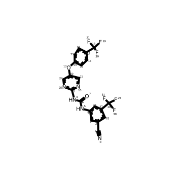 N#Cc1cc(NC(=O)Nc2ncc(Oc3ccc(C(F)(F)F)cc3)cn2)cc(C(F)(F)F)c1